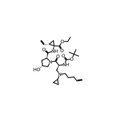 C=CCCCN(C[C@H](NC(=O)OC(C)(C)C)C(=O)N1C[C@H](O)C[C@H]1C(=O)N[C@]1(C(=O)OCC)C[C@H]1C=C)C1CC1